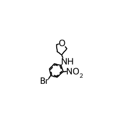 O=[N+]([O-])c1cc(Br)ccc1NC1CCOC1